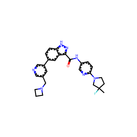 CC1(F)CCN(c2ccc(NC(=O)c3n[nH]c4ccc(-c5cncc(CN6CCC6)c5)cc34)cn2)C1